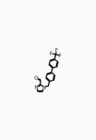 O=Cc1nccn1Cc1ccc(-c2ccc(C(F)(F)F)cc2)cc1